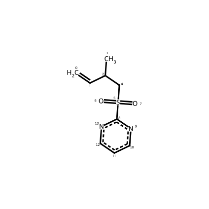 C=CC(C)CS(=O)(=O)c1ncccn1